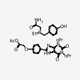 CCCn1c(=O)c2[nH]c(-c3ccc(OCC(=O)OC(C)=O)cc3)nc2n(CCC)c1=O.CCN(CC(N)=O)Cc1ccc(O)cc1